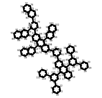 c1ccc(-c2cc(-c3ccccc3)cc(-c3c4ccccc4c(-c4cc(-c5ccccc5)cc(-c5ccccc5)c4)c4cc(-c5cncc(-c6ccc7c(-c8ccc9ccccc9c8)c8ccc(-c9ccc(-c%10ccc%11ccccc%11c%10)nc9-c9ccc%10ccccc%10c9)cc8c(-c8ccc9ccccc9c8)c7c6)c5)ccc34)c2)cc1